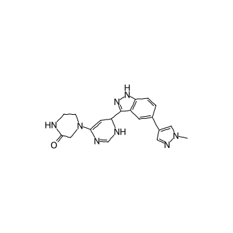 Cn1cc(-c2ccc3[nH]nc(C4C=C(N5CCNC(=O)C5)N=CN4)c3c2)cn1